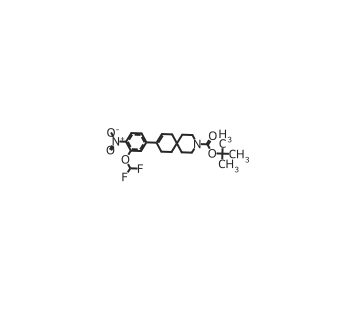 CC(C)(C)OC(=O)N1CCC2(CC=C(c3ccc([N+](=O)[O-])c(OC(F)F)c3)CC2)CC1